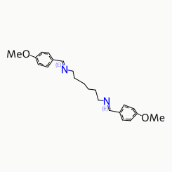 COc1ccc(/C=N/CCCCCC/N=C/c2ccc(OC)cc2)cc1